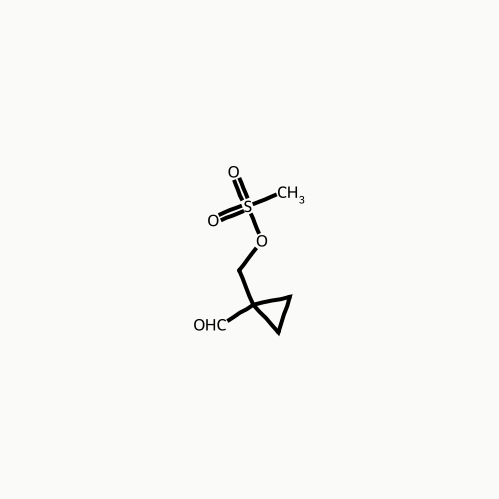 CS(=O)(=O)OCC1(C=O)CC1